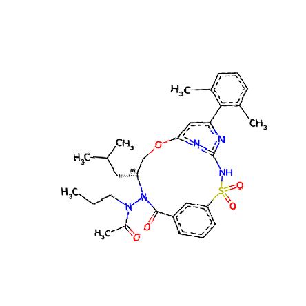 CCCN(C(C)=O)N1C(=O)c2cccc(c2)S(=O)(=O)Nc2nc(cc(-c3c(C)cccc3C)n2)OC[C@H]1CC(C)C